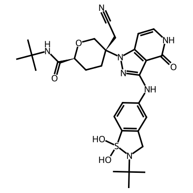 CC(C)(C)NC(=O)[C@@H]1CC[C@@](CC#N)(n2nc(Nc3ccc4c(c3)CN(C(C)(C)C)S4(O)O)c3c(=O)[nH]ccc32)CO1